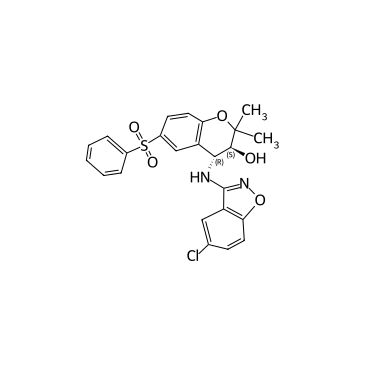 CC1(C)Oc2ccc(S(=O)(=O)c3ccccc3)cc2[C@@H](Nc2noc3ccc(Cl)cc23)[C@@H]1O